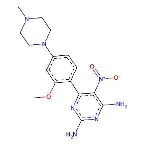 COc1cc(N2CCN(C)CC2)ccc1-c1nc(N)nc(N)c1[N+](=O)[O-]